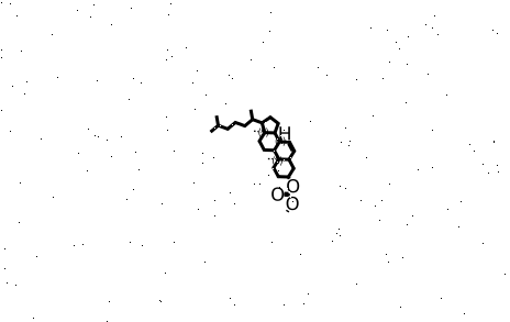 COC(=O)OC1CC[C@]2(C)C(C=C[C@@H]3C4CCC(C(C)CCCC(C)C)[C@]4(C)CCC32)C1